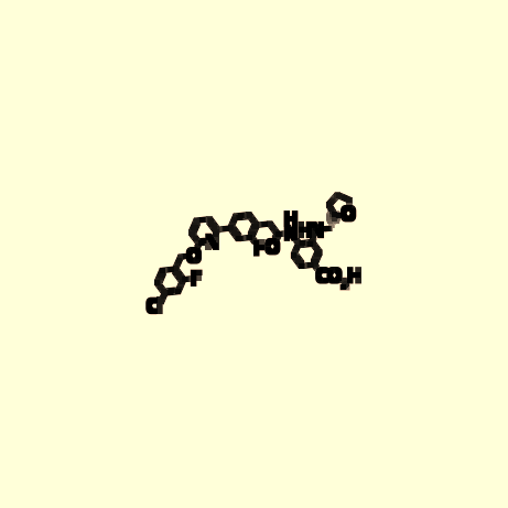 O=C(Cc1ccc(-c2cccc(OCc3ccc(Cl)cc3F)n2)cc1F)Nc1ccc(C(=O)O)cc1NC[C@@H]1CCCO1